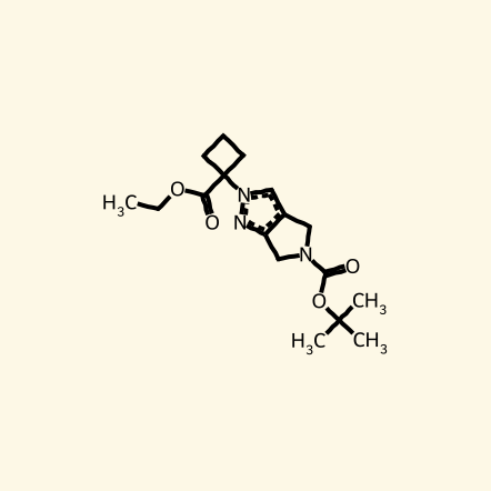 CCOC(=O)C1(n2cc3c(n2)CN(C(=O)OC(C)(C)C)C3)CCC1